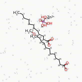 C=O.CCCCCCCCCCCC(=O)[O-].CCCCCCCCCCCC(=O)[O-].O=P(O)(O)O.[Zn+2]